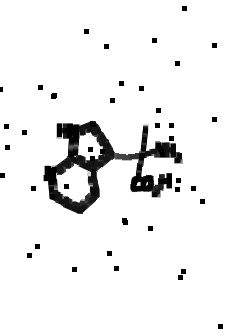 CC(N)(C(=O)O)c1c[nH]c2ncccc12